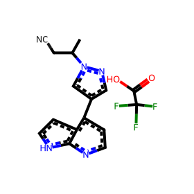 CC(CC#N)n1cc(-c2ccnc3[nH]ccc23)cn1.O=C(O)C(F)(F)F